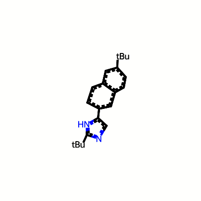 CC(C)(C)c1ccc2cc(-c3cnc(C(C)(C)C)[nH]3)ccc2c1